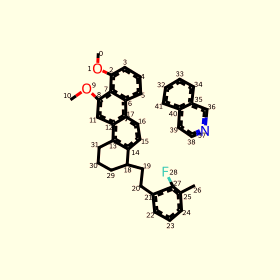 COc1cccc2c1c(OC)cc1c3c(ccc12)C(CCc1cccc(C)c1F)CCC3.c1ccc2cnccc2c1